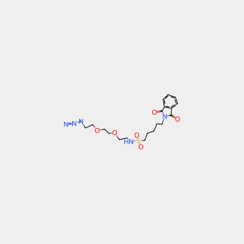 [N-]=[N+]=NCCOCCOCCNS(=O)(=O)CCCCCN1C(=O)c2ccccc2C1=O